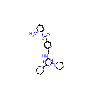 Nc1ccccc1NC(=O)c1ccc(CNc2nc(N3CCCCC3)nc(N3CCCCC3)n2)cc1